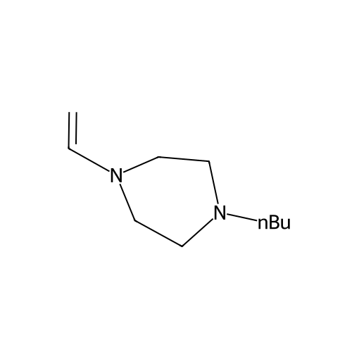 C=CN1CCN(CCCC)CC1